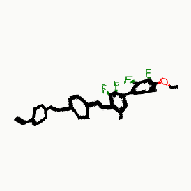 C=CC1CCC(/C=C/C2CCC(CCc3c(C)cc(-c4ccc(OCC)c(F)c4F)c(F)c3F)CC2)CC1